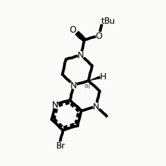 CN1C[C@H]2CN(C(=O)OC(C)(C)C)CCN2c2ncc(Br)cc21